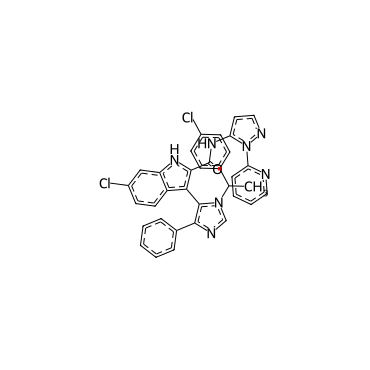 CC(c1ccc(Cl)cc1)n1cnc(-c2ccccc2)c1-c1c(C(=O)Nc2ccnn2-c2ccccn2)[nH]c2cc(Cl)ccc12